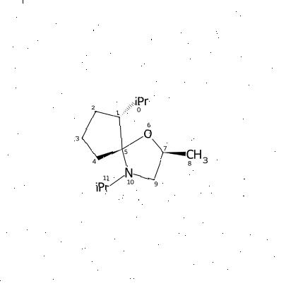 CC(C)[C@H]1CCC[C@]12O[C@@H](C)CN2C(C)C